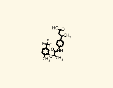 Cc1ccc(C(F)(F)F)cc1OC(C)C(=O)Nc1ccc(C(C)CC(=O)O)cc1